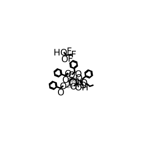 CCCON(C)[C@]1(O)O[C@@H](COC(=O)c2ccccc2)[C@H](OC(=O)c2ccccc2)[C@@H](OC(=O)c2ccccc2)[C@@H]1OC(=O)c1ccccc1.O=C(O)C(F)(F)F